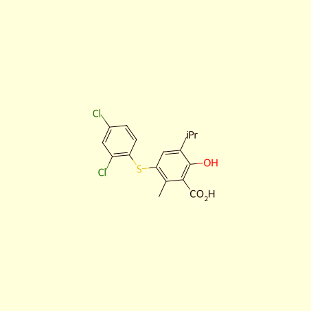 Cc1c(Sc2ccc(Cl)cc2Cl)cc(C(C)C)c(O)c1C(=O)O